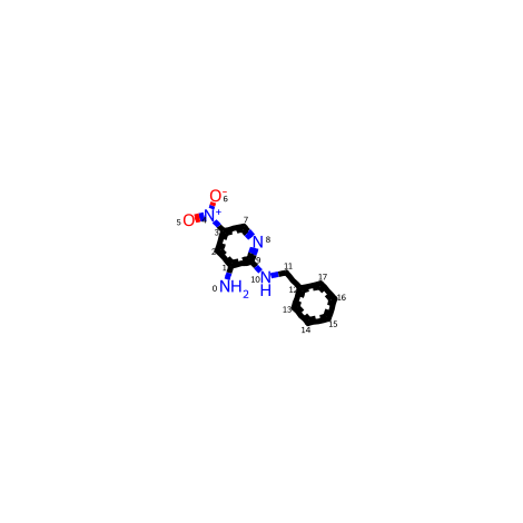 Nc1cc([N+](=O)[O-])cnc1NCc1ccccc1